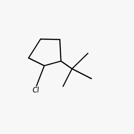 CC(C)(C)C1CCCC1Cl